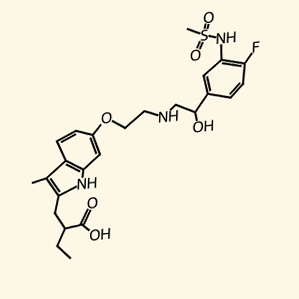 CCC(Cc1[nH]c2cc(OCCNCC(O)c3ccc(F)c(NS(C)(=O)=O)c3)ccc2c1C)C(=O)O